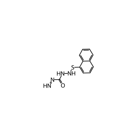 N=NC(=O)NNSc1cccc2ccccc12